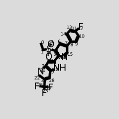 CCS(=O)(=O)c1cc(-c2ccc(F)cc2)cnc1-c1cc2ncc(C(F)(F)F)cc2[nH]1